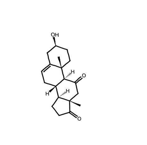 C[C@]12CC[C@H](O)CC1=CC[C@@H]1[C@@H]2C(=O)C[C@]2(C)C(=O)CC[C@@H]12